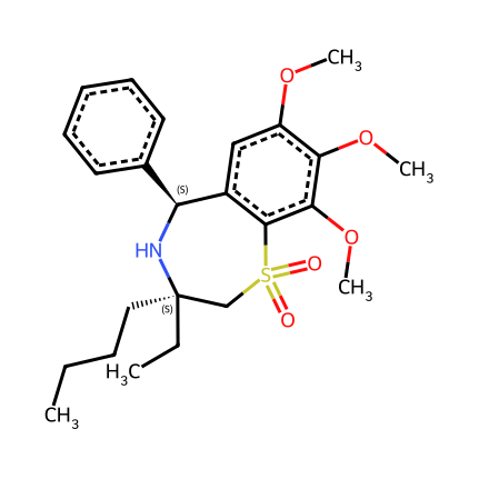 CCCC[C@@]1(CC)CS(=O)(=O)c2c(cc(OC)c(OC)c2OC)[C@H](c2ccccc2)N1